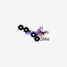 COc1cccc(C2(CNS(=O)(=O)NC(=O)C(C)C)CCC(NCc3ccc(-c4ccccc4)cc3)CC2)c1